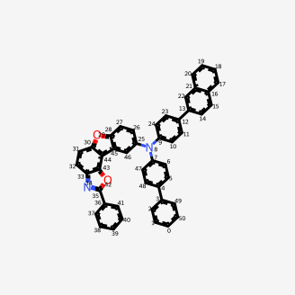 c1ccc(-c2ccc(N(c3ccc(-c4ccc5ccccc5c4)cc3)c3ccc4oc5ccc6nc(-c7ccccc7)oc6c5c4c3)cc2)cc1